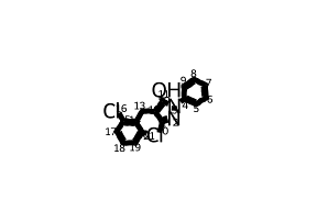 Cc1nn(-c2ccccc2)c(O)c1Cc1c(Cl)cccc1Cl